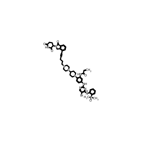 C=CC(=O)Nc1cc(Nc2ncc(Br)c(Nc3ccccc3P(C)(C)=O)n2)ccc1N1CCC(N2CCN(CCCC#Cc3cccc4c3CN(C3CCC(=O)NC3=O)C4=O)CC2)CC1